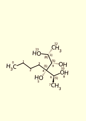 CCCC[C@](O)([C@H](C)O)[C@@H](O)[C@@H](C)O